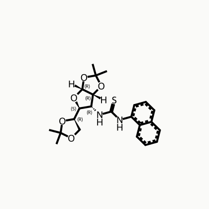 CC1(C)O[C@H]2O[C@H]([C@H]3COC(C)(C)O3)[C@@H](NC(=S)Nc3cccc4ccccc34)[C@H]2O1